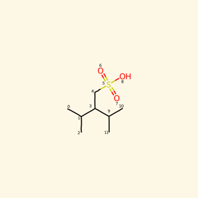 CC(C)C(CS(=O)(=O)O)C(C)C